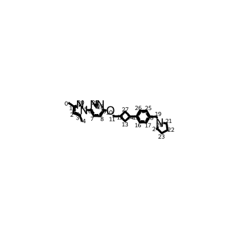 Cc1cc(C)n(-c2ccc(OCC3CC(c4ccc(CN5CCCC5)cc4)C3)nn2)n1